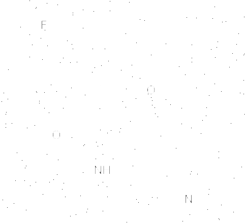 CNC(=O)c1c(-c2ccncc2)oc2ccc(F)cc12